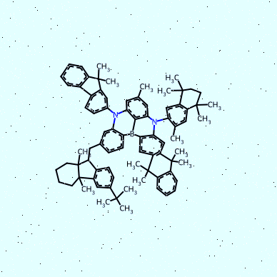 Cc1cc2c3c(c1)N(c1cc4c(cc1C)C(C)(C)CCC4(C)C)c1cc4c(cc1B3c1ccc(CC3c5ccc(C(C)(C)C)cc5C5(C)CCCCC35C)cc1N2c1ccc2c(c1)C(C)(C)c1ccccc1-2)C(C)(C)c1ccccc1C4(C)C